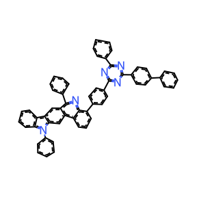 c1ccc(-c2ccc(-c3nc(-c4ccccc4)nc(-c4ccc(-c5cccc6c5nc(-c5ccccc5)c5cc7c8ccccc8n(-c8ccccc8)c7cc56)cc4)n3)cc2)cc1